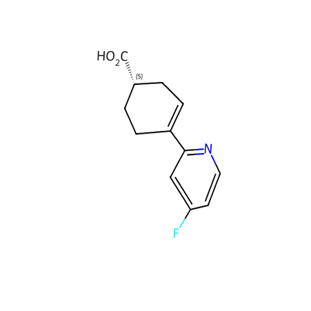 O=C(O)[C@@H]1CC=C(c2cc(F)ccn2)CC1